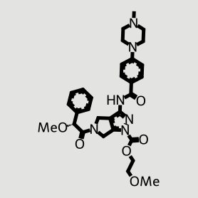 COCCOC(=O)n1nc(NC(=O)c2ccc(N3CCN(C)CC3)cc2)c2c1CN(C(=O)[C@H](OC)c1ccccc1)C2